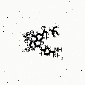 CCC(CC)(CC)CNC(=O)c1ccc(-c2ccc(OC)nc2C(=O)Nc2ccc(C(=N)N)cc2)c(C(=O)OS(C)(=O)=O)c1